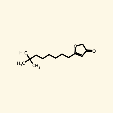 CC(C)(C)CCCCCCC1=CC(=O)CO1